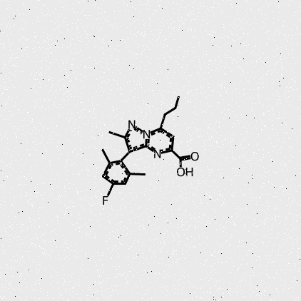 CCCc1cc(C(=O)O)nc2c(-c3c(C)cc(F)cc3C)c(C)nn12